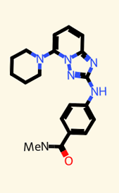 CNC(=O)c1ccc(Nc2nc3cccc(N4CCCCC4)n3n2)cc1